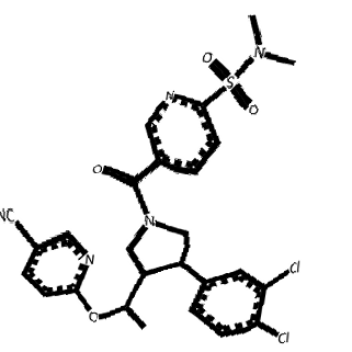 CC(Oc1ccc(C#N)cn1)C1CN(C(=O)c2ccc(S(=O)(=O)N(C)C)nc2)CC1c1ccc(Cl)c(Cl)c1